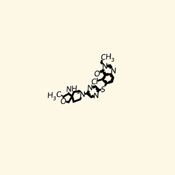 CCn1cnc2ccc(Sc3cnc(N4CCC5(CC4)CO[C@@H](C)[C@H]5N)cn3)c(Cl)c2c1=O